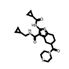 O=C(NCC1CC1)c1c(NC(=O)C2CC2)sc2c1CC(C(=O)N1CCSCC1)CC2